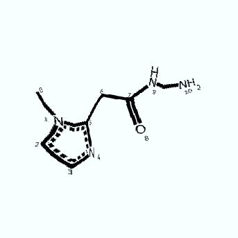 Cn1ccnc1CC(=O)NN